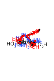 C#CCOCCOCCOCCOCCCOCN(CCn1cc(CCNC(=O)CO[C@@H]([C@@H]2OC(C(=O)O)=C[C@H](NC(=N)N)[C@H]2NC(C)=O)[C@H](O)CO)nn1)CCn1cc(CCNC(=O)CO[C@@H]([C@@H]2OC(C(=O)O)=C[C@H](NC(=N)N)[C@H]2NC(C)=O)[C@H](O)CO)nn1